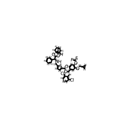 O=C(O[C@@H](Cc1c(Cl)cncc1Cl)c1ccc(OC(F)F)c(OCC2CC2)c1)c1ccc(CNC(C(=O)O[C@H]2CN3CCC2CC3)c2ccccc2)s1